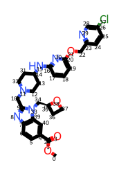 COC(=O)c1ccc2nc(CN3CCC(Nc4cccc(OCc5ccc(Cl)cn5)n4)CC3)n(C[C@@H]3CCO3)c2c1